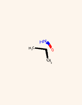 CCC.N=O